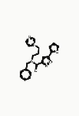 O=C(c1cc(-c2ccco2)on1)N(CCCn1ccnc1)Cc1ccccc1